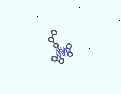 c1ccc(-c2cccc(-c3ccc(-c4nc(-n5c6ccccc6c6ccccc65)nc(-n5c6ccccc6c6ccccc65)n4)cc3)c2)cc1